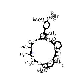 CCCC1/C=C(\C)CC(C)CC(OC)C2OC(O)(C(=O)C(=O)N3CCCCC3C(=O)OC(C(C)=CC3CCC(O[Si](C(C)C)(C(C)C)C(C)C)C(OC)C3)C(C)CCC1=O)C(C)CC2OC